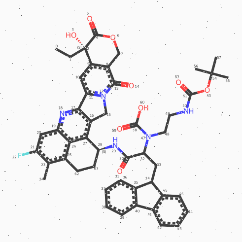 CC[C@@]1(O)C(=O)OCc2c1cc1n(c2=O)Cc2c-1nc1cc(F)c(C)c3c1c2[C@@H](NC(=O)C(CC1c2ccccc2-c2ccccc21)N(CCNC(=O)OC(C)(C)C)C(=O)O)CC3